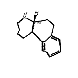 c1ccc2c(c1)CC[C@H]1NCCCC21